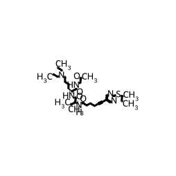 CCCN(CCC)CCCC[C@H](NC(=O)[C@@H](NC(=O)CCCC#Cc1cnc(SC(C)CC)nc1)C(C)C)C(=O)NCC(C)=O